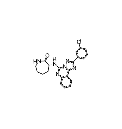 O=C1NCCCC[C@H]1Nc1nc2ccccc2c2nc(-c3cccc(Cl)c3)nn12